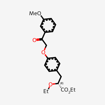 CCOC(=O)[C@@H](Cc1ccc(OCC(=O)c2cccc(OC)c2)cc1)OCC